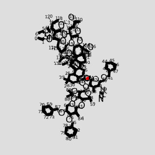 CC[Si](CC)(CC)OCC1O[C@@H](OC2[C@H](O[C@H]3CCC4(C)C5CC=C6C7CC(C)(C)CC[C@]7(C(=O)O[C@@H]7OC(COCc8ccccc8)[C@H](N=[N+]=[N-])C(C)C7O[C@@H]7OC(C)[C@H](O[C@@H]8OC[C@@H](OCc9ccccc9)C(OCc9ccccc9)C8C)C8OC(C)(C)OC87)C(OC)C[C@@]6(C)[C@@]5(C)CC[C@H]4[C@@]3(C)C=O)OC(C(C)=O)[C@@H](C)[C@@H]2O[C@@H]2OC[C@@H](C)[C@@H](C)C2C)C(O[Si](CC)(CC)CC)[C@@H](C)[C@@H]1C